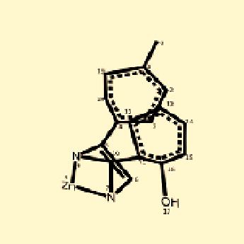 Cc1ccc(C2=C[N]3[Zn][N]2C3c2ccccc2O)cc1